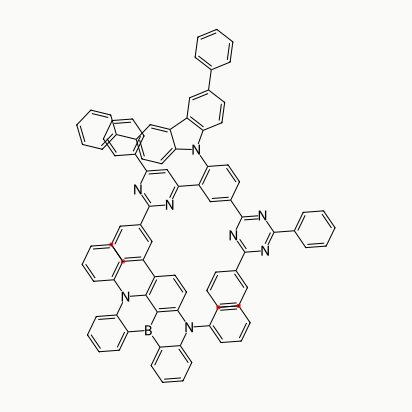 c1ccc(-c2ccc3c(c2)c2cc(-c4ccccc4)ccc2n3-c2ccc(-c3nc(-c4ccccc4)nc(-c4ccccc4)n3)cc2-c2cc(-c3ccccc3)nc(-c3cccc(-c4ccc5c6c4N(c4ccccc4)c4ccccc4B6c4ccccc4N5c4ccccc4)c3)n2)cc1